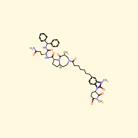 C[C@H]1CN(C(=O)CCCCCCc2ccc3c(c2)n(C)c(=O)n3C2CCC(=O)N(C)C2=O)CC[C@H]2CC[C@@H](C(=O)N[C@@H](CCC(N)=O)C(=O)NC(c3ccccc3)c3ccccc3)N2C1=O